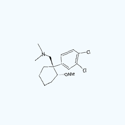 CO[C@@H]1CCCC[C@]1(CN(C)C)c1ccc(Cl)c(Cl)c1